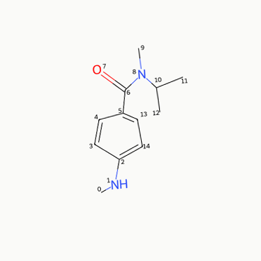 CNc1ccc(C(=O)N(C)C(C)C)cc1